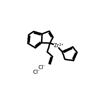 C=CC[C]1([Zr+2][C]2=CC=CC2)C=Cc2ccccc21.[Cl-].[Cl-]